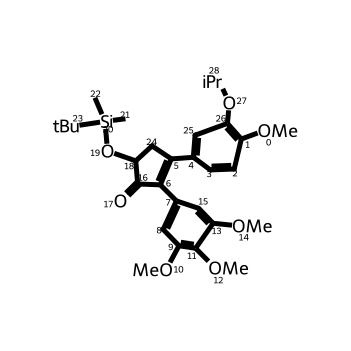 COc1ccc(C2=C(c3cc(OC)c(OC)c(OC)c3)C(=O)C(O[Si](C)(C)C(C)(C)C)C2)cc1OC(C)C